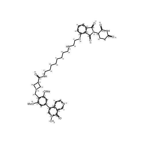 COc1cc(-c2cn(C)c(=O)c3cnccc23)cc(OC)c1CN1CC(C(=O)NCCCCCCCCNCCOc2cccc3c2C(=O)N(C2CCC(=O)NC2=O)C3=O)C1